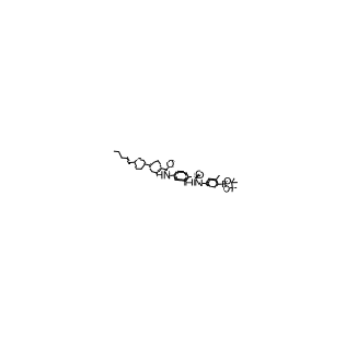 CCCCCC1CCC(C2CCC(C(=O)Nc3ccc(C(=O)Nc4ccc(B5OC(C)(C)C(C)(C)O5)c(C)c4)cc3)CC2)CC1